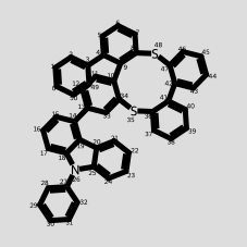 c1ccc(-c2cccc3c2-c2ccc(-c4cccc5c4c4ccccc4n5-c4ccccc4)cc2Sc2ccccc2-c2ccccc2S3)cc1